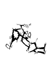 Cc1noc(C)c1CN1C(=O)CC2(C1=O)C(=O)N(CC(=O)O)c1ccc(Cl)cc12